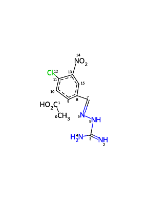 CC(=O)O.N=C(N)NN=Cc1ccc(Cl)c([N+](=O)[O-])c1